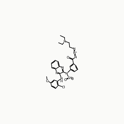 CCN(CC)CCN=[N+]=NC(=O)c1cccc(N(c2nc3ccccc3nc2Nc2cc(OC)ccc2Cl)[SH](=O)=O)c1